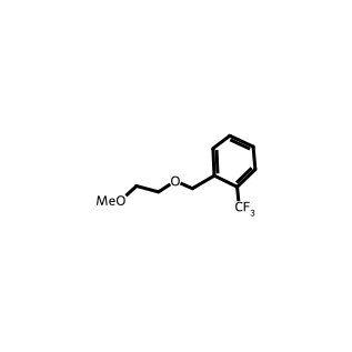 COCCOCc1ccccc1C(F)(F)F